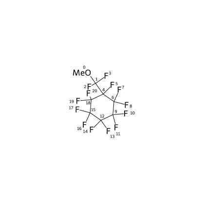 COC(F)(F)C1(F)C(F)(F)C(F)(F)C(F)(F)C(F)(F)C1(F)F